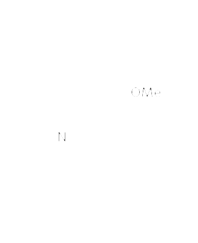 COC12CCN(C)C(C1)C2